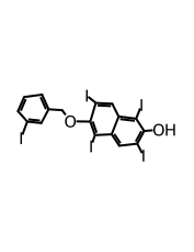 Oc1c(I)cc2c(I)c(OCc3cccc(I)c3)c(I)cc2c1I